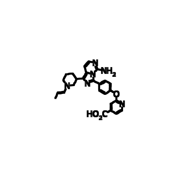 CC=CN1CCCC(c2nc(-c3ccc(Oc4cc(C(=O)O)ccn4)cc3)n3c(N)nccc23)C1